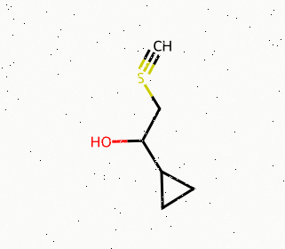 C#SCC(O)C1CC1